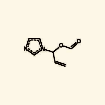 C=CC(OC=O)n1ccnc1